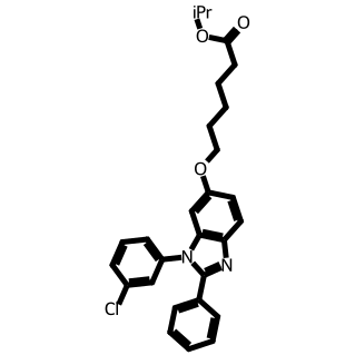 CC(C)OC(=O)CCCCCOc1ccc2nc(-c3ccccc3)n(-c3cccc(Cl)c3)c2c1